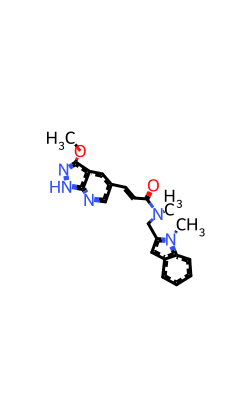 COc1n[nH]c2ncc(C=CC(=O)N(C)Cc3cc4ccccc4n3C)cc12